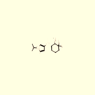 CC(C)n1ccc(O[C@H]2CCCC(F)(F)[C@@H]2N)c1